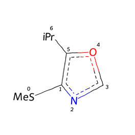 CSc1ncoc1C(C)C